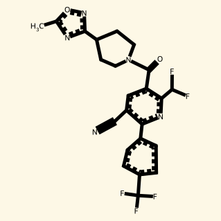 Cc1nc(C2CCN(C(=O)c3cc(C#N)c(-c4ccc(C(F)(F)F)cc4)nc3C(F)F)CC2)no1